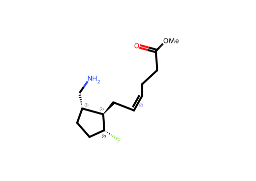 COC(=O)CC/C=C\C[C@@H]1[C@@H](CN)CC[C@H]1F